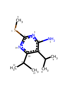 CSc1nc(N)c(C(C)C)c(C(C)C)n1